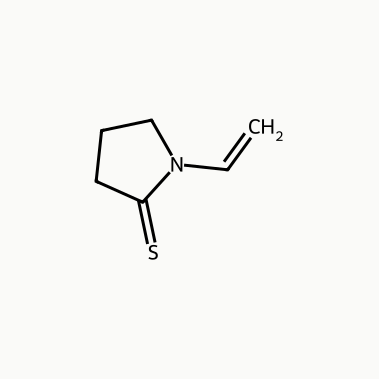 C=CN1CCCC1=S